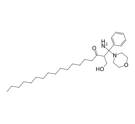 CCCCCCCCCCCCCCCC(=O)C(CO)C(N)(c1ccccc1)N1CCOCC1